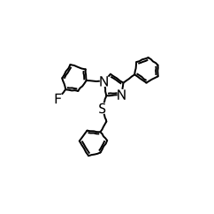 Fc1cccc(-n2cc(-c3ccccc3)nc2SCc2ccccc2)c1